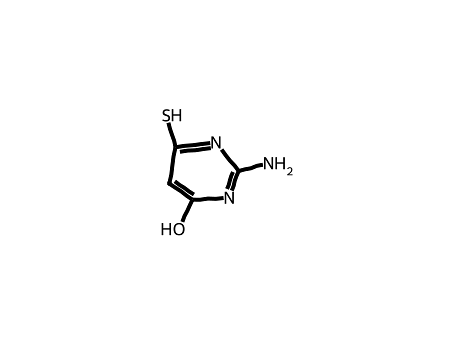 Nc1nc(O)cc(S)n1